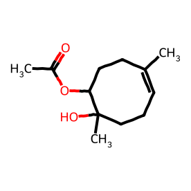 CC(=O)OC1CC/C(C)=C\CCC1(C)O